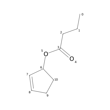 CCCC(=O)OC1C=CCC1